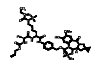 C=CCOC(=O)N[C@H](C(=O)N[C@@H](CCCCN(C(=O)OCC(Cl)(Cl)Cl)[Si](C)(C)C(C)(C)C)C(=O)Nc1ccc(COC(=O)N2c3cc(O)c(OC)cc3C(=O)N3CC4(CC4)C[C@H]3C2O[Si](C)(C)C(C)(C)C)cc1)C(C)C